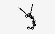 CCCCCCCCCCCCCC(=O)OCC(Cn1cc(CCC(=O)OCCOC(C)(C)CCOC(C)(C)CCOC)nn1)OC(=O)CCCCCCCCCCCC